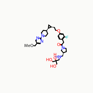 COCc1cnc(N2CCC([C@H]3C[C@H]3CCOc3ccc(CC(=O)N4CC[C@@H](CNCC(O)(CO)CO)C4)c(F)c3)CC2)nc1